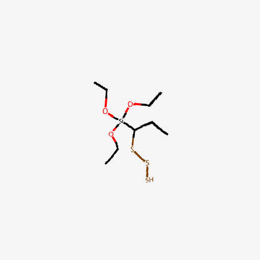 CCO[Si](OCC)(OCC)C(CC)SSS